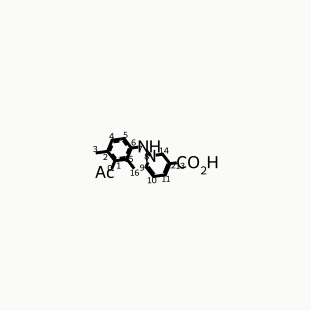 CC(=O)c1c(C)ccc(NN2C=CC=C(C(=O)O)C2)c1C